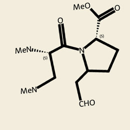 CNC[C@H](NC)C(=O)N1C(CC=O)CC[C@H]1C(=O)OC